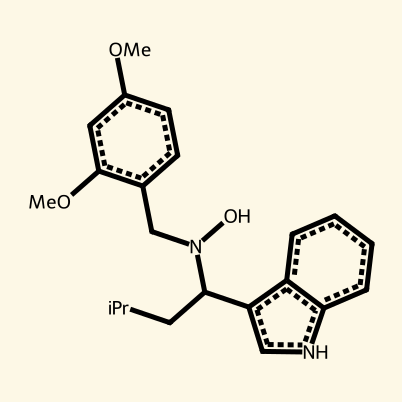 COc1ccc(CN(O)C(CC(C)C)c2c[nH]c3ccccc23)c(OC)c1